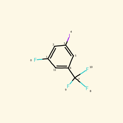 Fc1cc(I)cc(C(F)(F)F)c1